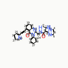 Cc1nn2cccnc2c1C(=O)N[C@H](C)c1nc2cccc(C#Cc3ccccn3)c2c(=O)n1-c1ccccc1